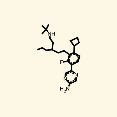 CCCC(CCNC(C)(C)C)CCc1c(C2CCC2)ccc(-c2cnc(N)cn2)c1F